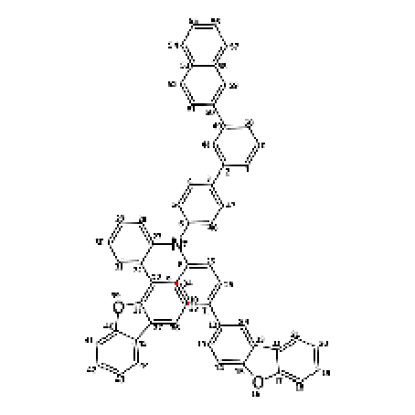 c1cc(-c2ccc(N(c3ccc(-c4ccc5oc6ccccc6c5c4)cc3)c3ccccc3-c3cccc4c3oc3ccccc34)cc2)cc(-c2ccc3ccccc3c2)c1